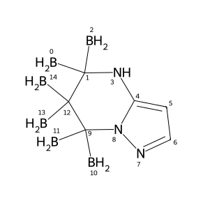 BC1(B)Nc2ccnn2C(B)(B)C1(B)B